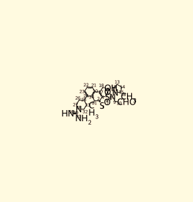 CC1C(=S)C(S(=O)(=O)N(CC=O)N2CCCC2C)=C(CO)c2cccc(C3CCN(C(=N)N)CC3)c21